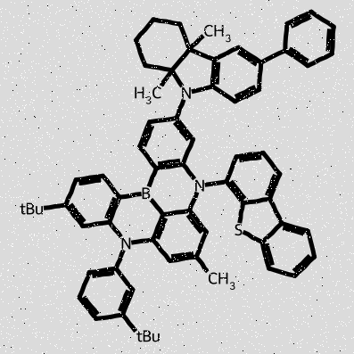 Cc1cc2c3c(c1)N(c1cccc4c1sc1ccccc14)c1cc(N4c5ccc(-c6ccccc6)cc5C5(C)CCCCC45C)ccc1B3c1ccc(C(C)(C)C)cc1N2c1cccc(C(C)(C)C)c1